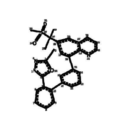 Cc1nnc(-c2ccccc2-c2cccc(-c3cc(C(C)(C)S(C)(=O)=O)cc4cccnc34)c2)o1